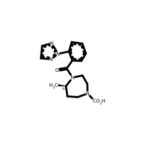 C[C@@H]1CCN(C(=O)O)CCN1C(=O)c1ccccc1-n1nccn1